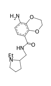 CCN1CCCC1CNC(=O)c1ccc(N)c2c1OCCO2